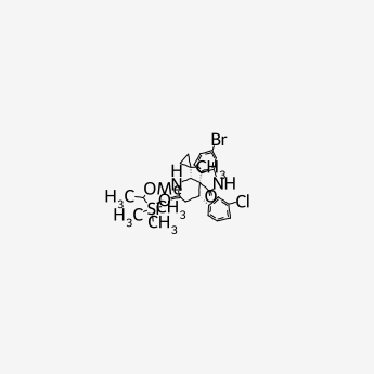 CC1([C@H]2NC(=O)C[C@@H](c3cccc(Cl)c3)[C@]23C(=O)Nc2cc(Br)ccc23)CC1.COC(C)[Si](C)(C)C